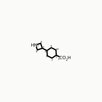 O=C(O)C1CCC(C2CNC2)CC1